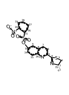 C[C@H]1CSC(c2ccc3cc(OS(=O)(=O)c4ccccc4[N+](=O)[O-])ccc3n2)=N1